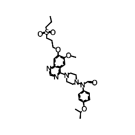 CCCS(=O)(=O)CCCOc1cc2ncnc(N3CCN(N(C=O)c4ccc(OC(C)C)cc4)CC3)c2cc1OC